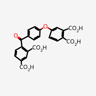 O=C(O)c1ccc(C(=O)c2ccc(Oc3ccc(C(=O)O)c(C(=O)O)c3)cc2)c(C(=O)O)c1